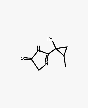 CC(C)C1(C2=NCC(=O)N2)CC1C